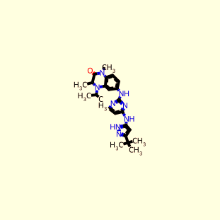 CC(C)N1c2cc(Nc3nccc(Nc4cc(C(C)(C)C)n[nH]4)n3)ccc2N(C)C(=O)C1C